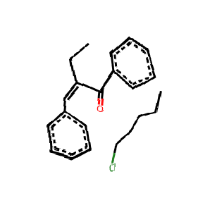 CCC(=Cc1ccccc1)C(=O)c1ccccc1.CCCCCCl